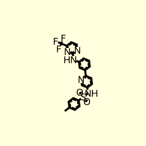 Cc1ccc(S(=O)(=O)Nc2ccc(-c3cccc(Nc4nccc(C(F)(F)F)n4)c3)nc2)cc1